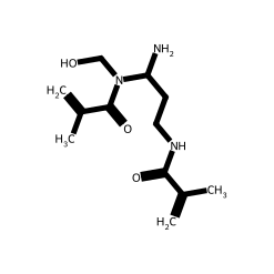 C=C(C)C(=O)NCCC(N)N(CO)C(=O)C(=C)C